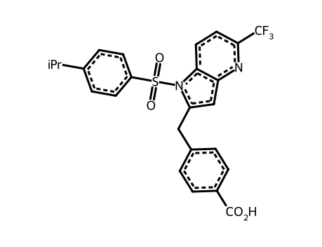 CC(C)c1ccc(S(=O)(=O)n2c(Cc3ccc(C(=O)O)cc3)cc3nc(C(F)(F)F)ccc32)cc1